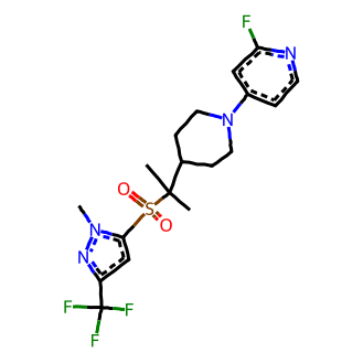 Cn1nc(C(F)(F)F)cc1S(=O)(=O)C(C)(C)C1CCN(c2ccnc(F)c2)CC1